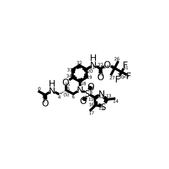 CC(=O)NC[C@H]1CN(S(=O)(=O)c2nc(C)sc2C)c2cc(NC(=O)OC(C)(C)C(F)(F)F)ccc2O1